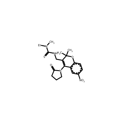 CCN(C)C(=S)NCC1=C(N2CCCC2=O)c2cc([N+](=O)[O-])ccc2OC1(C)C